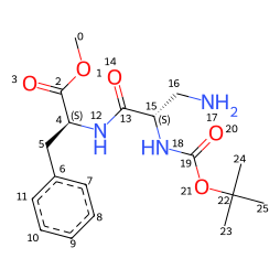 COC(=O)[C@H](Cc1ccccc1)NC(=O)[C@H](CN)NC(=O)OC(C)(C)C